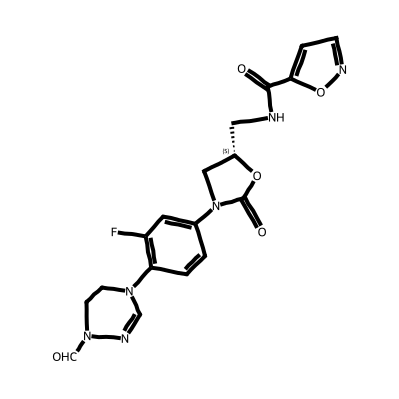 O=CN1CCN(c2ccc(N3C[C@H](CNC(=O)c4ccno4)OC3=O)cc2F)C=N1